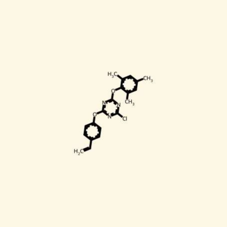 C=Cc1ccc(Oc2nc(Cl)nc(Oc3c(C)cc(C)cc3C)n2)cc1